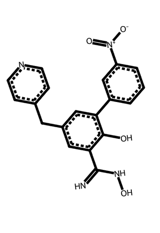 N=C(NO)c1cc(Cc2ccncc2)cc(-c2cccc([N+](=O)[O-])c2)c1O